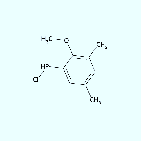 COc1c(C)cc(C)cc1PCl